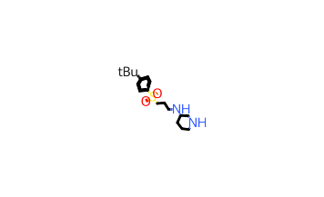 CC(C)(C)c1ccc(S(=O)(=O)CCCNC2CCCNC2)cc1